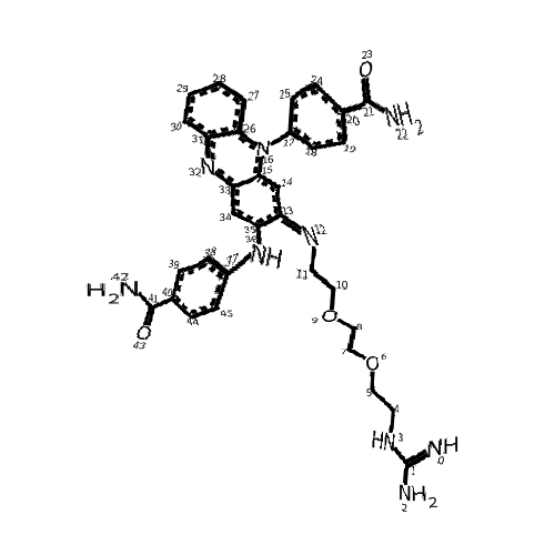 N=C(N)NCCOCCOCC/N=c1/cc2n(-c3ccc(C(N)=O)cc3)c3ccccc3nc-2cc1Nc1ccc(C(N)=O)cc1